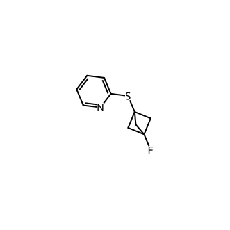 FC12CC(Sc3ccccn3)(C1)C2